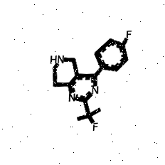 CC(C)(F)c1nc2c(c(-c3ccc(F)cc3)n1)CNCC2